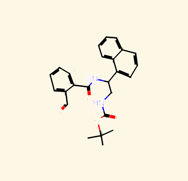 CC(C)(C)OC(=O)NCC(NC(=O)c1ccccc1C=O)c1cccc2ccccc12